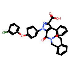 O=C(O)c1nn(-c2ccc(Oc3cccc(Cl)c3)cc2)c(C(=O)N2CCc3ccccc3C2)c1-c1ccccc1